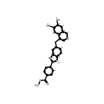 COC(=O)c1ccc(-c2nc3cc(Cc4cncc5cc(O)c(O)cc45)ccc3o2)cc1